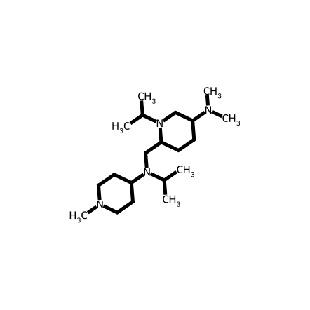 CC(C)N1CC(N(C)C)CCC1CN(C(C)C)C1CCN(C)CC1